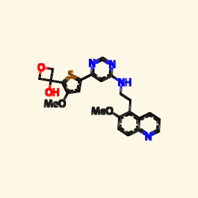 COc1cc(-c2cc(NCCc3c(OC)ccc4ncccc34)ncn2)sc1C1(O)COC1